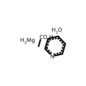 CC(=O)O.O.[MgH2].c1ccncc1